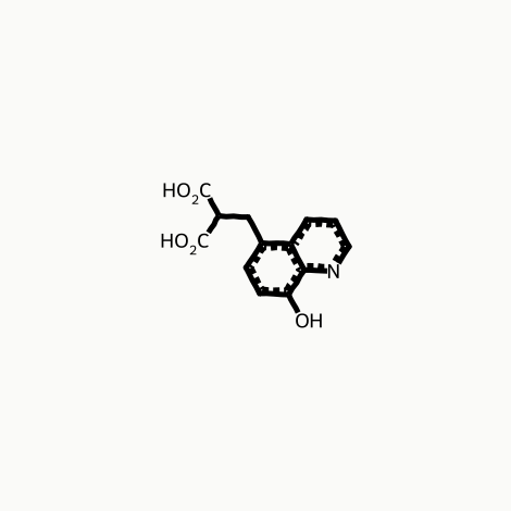 O=C(O)C(Cc1ccc(O)c2ncccc12)C(=O)O